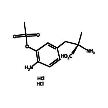 C[C@](N)(Cc1ccc(N)c(OS(C)(=O)=O)c1)C(=O)O.Cl.Cl